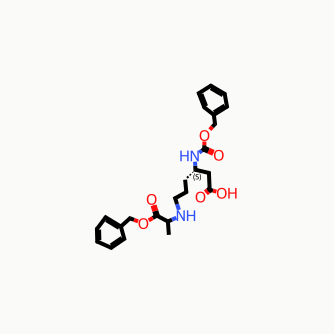 CC(NCCC[C@@H](CC(=O)O)NC(=O)OCc1ccccc1)C(=O)OCc1ccccc1